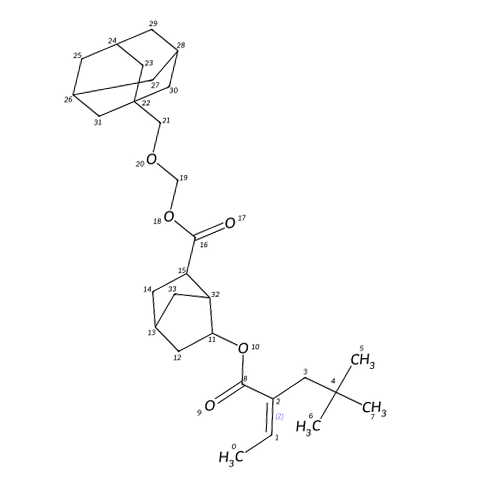 C/C=C(/CC(C)(C)C)C(=O)OC1CC2CC(C(=O)OCOCC34CC5CC(CC(C5)C3)C4)C1C2